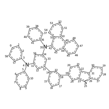 c1ccc(N(c2ccccc2)c2cc(-c3cccc(-c4ccc5c(c4)sc4ccccc45)c3)cc(N(c3ccccc3)c3cc4ccccc4c4ccccc34)c2)cc1